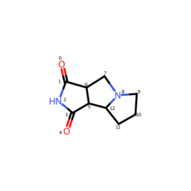 O=C1NC(=O)C2C1CN1CCCC21